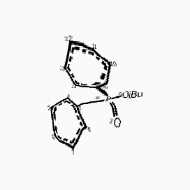 CC(C)COP(=O)(c1ccccc1)c1ccccc1